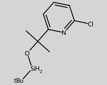 CC(C)(C)[SiH2]OC(C)(C)c1cccc(Cl)n1